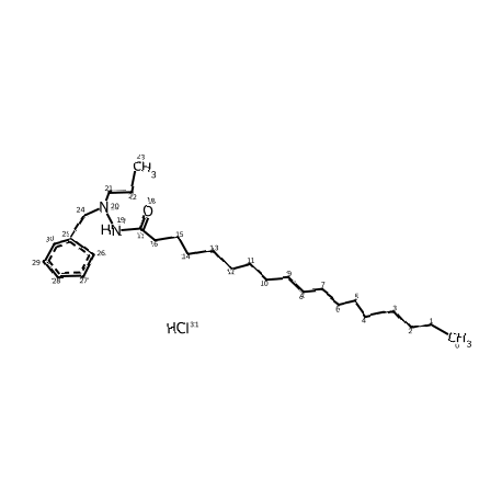 CCCCCCCCCCCCCCCCCC(=O)NN(CCC)Cc1ccccc1.Cl